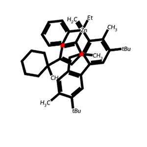 [CH2]=[Zn]([CH2]C)([C]1=CC(C2(C)CCCCC2)=CC1C)([c]1ccccc1)[c]1c(C)c(C(C)(C)C)cc2c1Cc1cc(C)c(C(C)(C)C)cc1-2